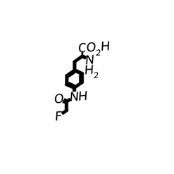 N[C@@H](Cc1ccc(NC(=O)CF)cc1)C(=O)O